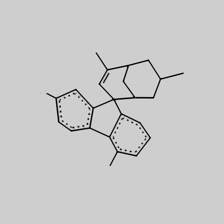 CC1=CC2(c3cc(Cl)ccc3-c3c(Cl)cccc32)C2CC(C)CC1C2